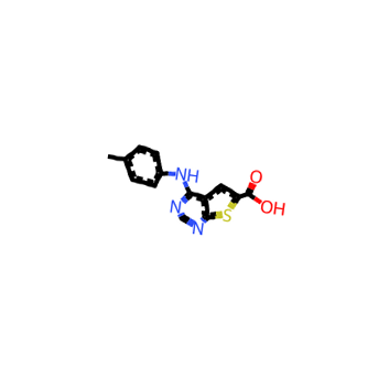 Cc1ccc(Nc2ncnc3sc(C(=O)O)cc23)cc1